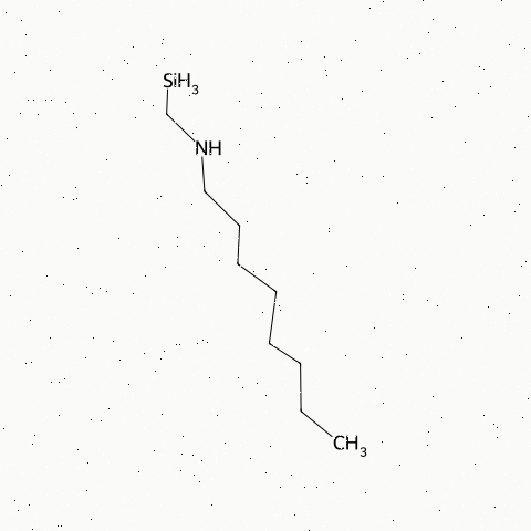 CCCCCCCCNC[SiH3]